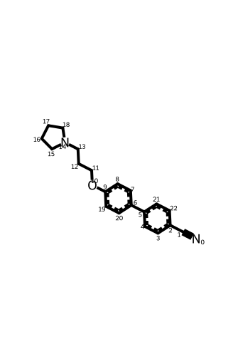 N#Cc1ccc(-c2ccc(OCCCN3CCCC3)cc2)cc1